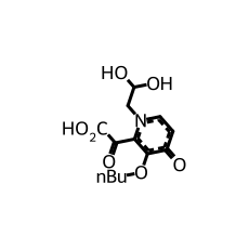 CCCCOc1c(C(=O)C(=O)O)n(CC(O)O)ccc1=O